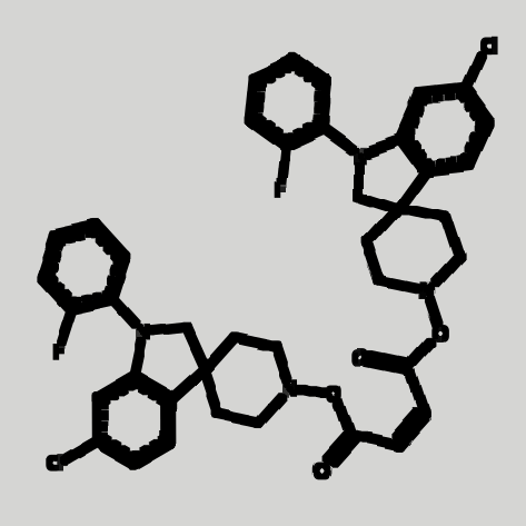 O=C(/C=C\C(=O)ON1CCC2(CC1)CN(c1ccccc1F)c1cc(Cl)ccc12)ON1CCC2(CC1)CN(c1ccccc1F)c1cc(Cl)ccc12